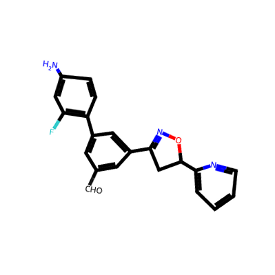 Nc1ccc(-c2cc(C=O)cc(C3=NOC(c4ccccn4)C3)c2)c(F)c1